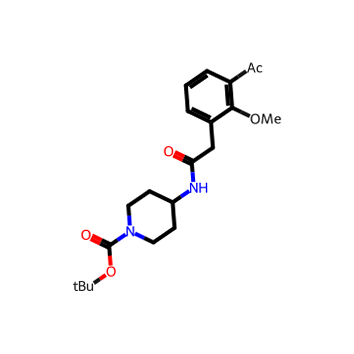 COc1c(CC(=O)NC2CCN(C(=O)OC(C)(C)C)CC2)cccc1C(C)=O